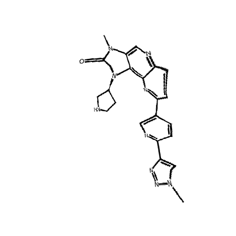 Cn1cc(-c2ccc(-c3ccc4ncc5c(c4n3)n([C@H]3CCNC3)c(=O)n5C)cn2)nn1